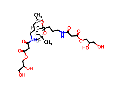 C[SiH](CCCNC(=O)CC(=O)OCC(O)CO)O[Si](C)(CCCNC(=O)CC(=O)OCC(O)CO)O[Si](C)(C)C